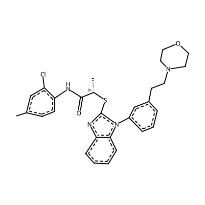 Cc1ccc(NC(=O)[C@H](C)Sc2nc3ccccc3n2-c2cccc(CCN3CCOCC3)c2)c(Cl)c1